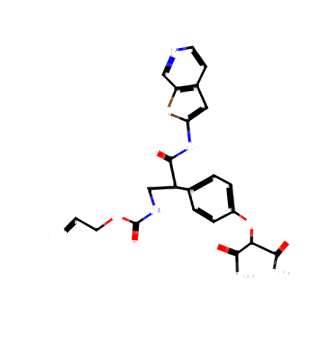 C=CCOC(=O)NCC(C(=O)Nc1cc2ccncc2s1)c1ccc(OC(C(=O)OC)C(=O)OC)cc1